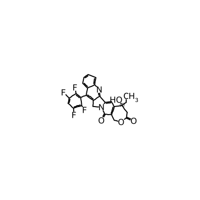 CC[C@@]1(O)CC(=O)OCc2c1cc1n(c2=O)Cc2c-1nc1ccccc1c2-c1c(F)c(F)cc(F)c1F